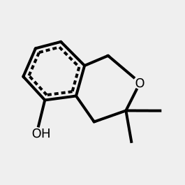 CC1(C)Cc2c(O)cccc2CO1